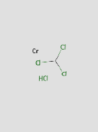 Cl.ClC(Cl)Cl.[Cr]